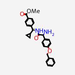 COC(=O)c1ccc([C@H](NC(=O)C(N)c2ccc(OCc3ccccc3)cc2)C2CC2)cc1